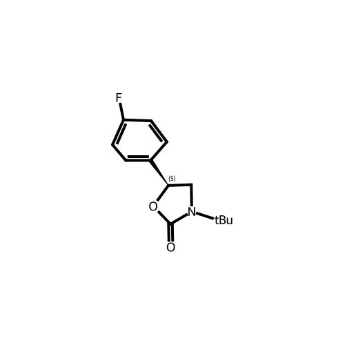 CC(C)(C)N1C[C@H](c2ccc(F)cc2)OC1=O